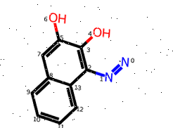 [N]=Nc1c(O)c(O)cc2ccccc12